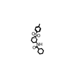 Cc1ccc(S(=O)(=O)N2CCCC(NC(=O)C3CCCCC3)C2)cc1